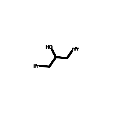 CCCCC(O)CC(C)C